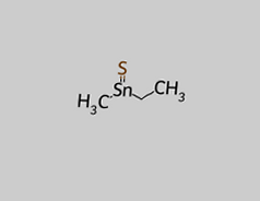 C[CH2][Sn]([CH3])=[S]